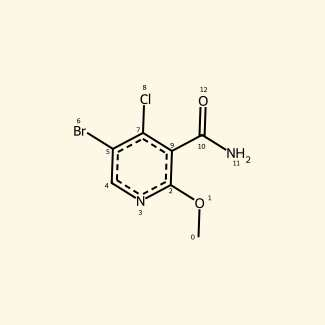 COc1ncc(Br)c(Cl)c1C(N)=O